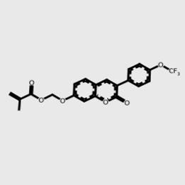 C=C(C)C(=O)OCOc1ccc2cc(-c3ccc(OC(F)(F)F)cc3)c(=O)oc2c1